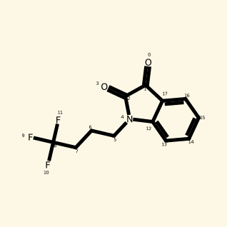 O=C1C(=O)N(CCCC(F)(F)F)c2ccccc21